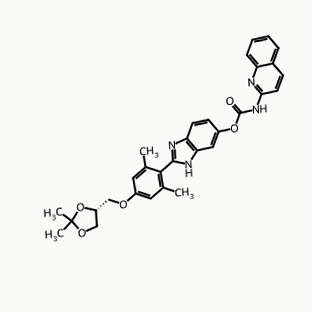 Cc1cc(OC[C@@H]2COC(C)(C)O2)cc(C)c1-c1nc2ccc(OC(=O)Nc3ccc4ccccc4n3)cc2[nH]1